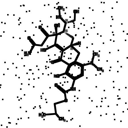 CN[C@H](CO)[C@@H]1C[C@@H]2Cc3c(N(C)C)cc(NC(=O)OCC(C)C)c(O)c3C(=O)C2=C(O)[C@]1(O)C(=O)CC(N)=O